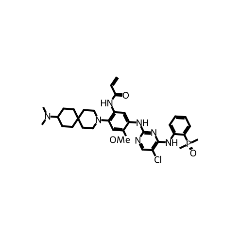 C=CC(=O)Nc1cc(Nc2ncc(Cl)c(Nc3ccccc3P(C)(C)=O)n2)c(OC)cc1N1CCC2(CCC(N(C)C)CC2)CC1